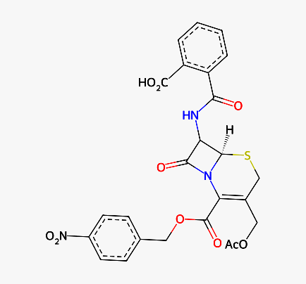 CC(=O)OCC1=C(C(=O)OCc2ccc([N+](=O)[O-])cc2)N2C(=O)C(NC(=O)c3ccccc3C(=O)O)[C@H]2SC1